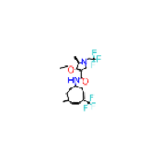 C=C1/C=C\C(C(F)(F)F)=C/C[C@H](NC(=O)C2=C(OCC)C(=C)N(CC(F)(F)F)C2)CC1